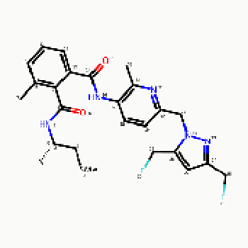 CSC[C@H](C)NC(=O)c1c(C)cccc1C(=O)Nc1ccc(Cn2nc(CF)cc2CF)nc1C